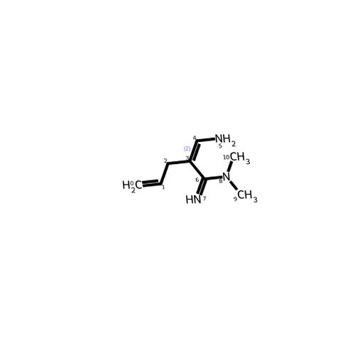 C=CC/C(=C/N)C(=N)N(C)C